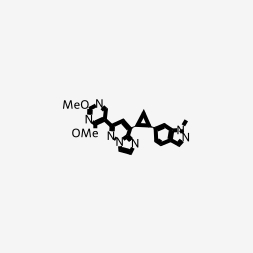 COc1ncc(-c2cc([C@@H]3C[C@@H]3c3ccc4cnn(C)c4c3)c3nccn3n2)c(OC)n1